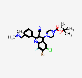 CN(C)Cc1cccc(-c2nc3c(F)c(Br)c(Cl)cc3c(N3CCN(C(=O)OC(C)(C)C)CC3)c2C#N)c1